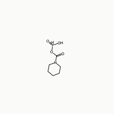 O=C(O[PH](=O)O)N1CCCCC1